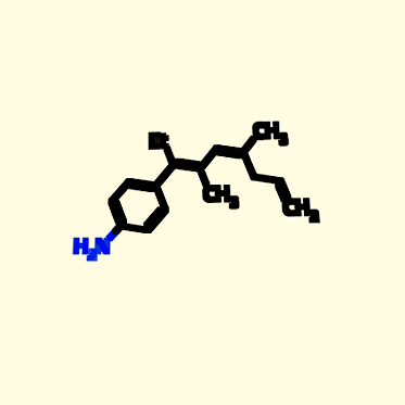 C=CC/C(C)=C\C(C)=C(/CC)c1ccc(N)cc1